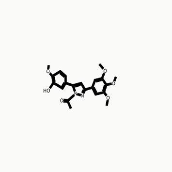 COc1ccc(-c2cc(-c3cc(OC)c(OC)c(OC)c3)nn2C(C)=O)cc1O